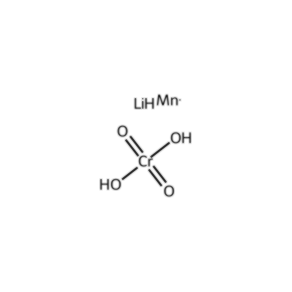 [LiH].[Mn].[O]=[Cr](=[O])([OH])[OH]